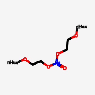 CCCCCCOCCO[N+](=O)OCCOCCCCCC